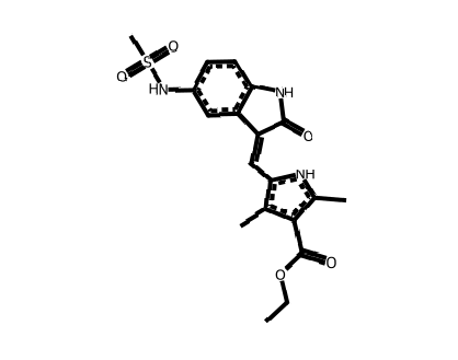 CCOC(=O)c1c(C)[nH]c(C=C2C(=O)Nc3ccc(NS(C)(=O)=O)cc32)c1C